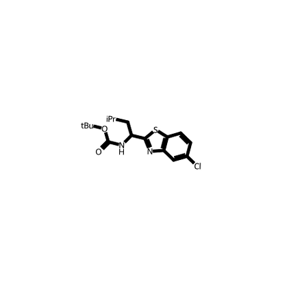 CC(C)CC(NC(=O)OC(C)(C)C)c1nc2cc(Cl)ccc2s1